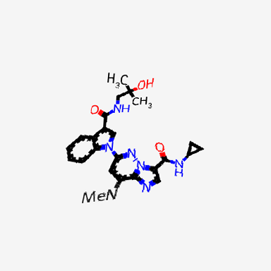 CNc1cc(-n2cc(C(=O)NCC(C)(C)O)c3ccccc32)nn2c(C(=O)NC3CC3)cnc12